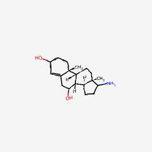 C[C@]12CCC(O)C=C1CC(O)[C@@H]1[C@H]2CC[C@]2(C)C(N)CC[C@@H]12